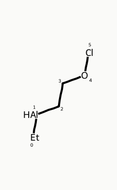 C[CH2][AlH][CH2]COCl